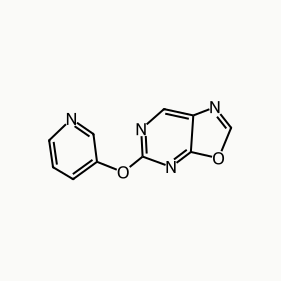 c1cncc(Oc2ncc3ncoc3n2)c1